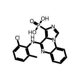 Cc1cccc(Cl)c1Nc1nc2ccccc2n2cnc(P(=O)(O)O)c12